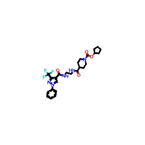 O=C(NCCNC(=O)C1CCN(C(=O)OC2CCCC2)CC1)c1cn(-c2ccccc2)nc1C(F)(F)F